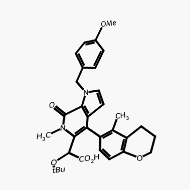 COc1ccc(Cn2ccc3c(-c4ccc5c(c4C)CCCO5)c(C(OC(C)(C)C)C(=O)O)n(C)c(=O)c32)cc1